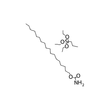 CCCCCCCCCCCCCCCCCCOC(N)=O.CCC[Si](OCC)(OCC)OCC